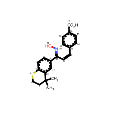 CC1(C)CCSc2ccc(C(/C=C\c3ccc(C(=O)O)cc3)=NO)cc21